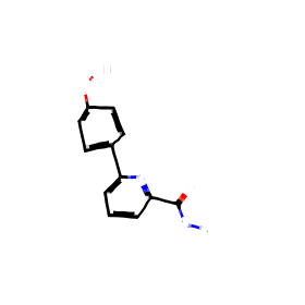 COc1ccc(-c2cccc(C(=O)NN)n2)cc1